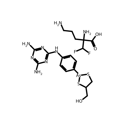 NCCCC(N)(C(=O)O)C(F)F.Nc1nc(N)nc(Nc2ccc([As]3SCC(CO)S3)cc2)n1